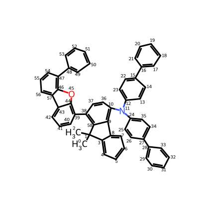 CC1(C)c2ccccc2-c2c(N(c3ccc(-c4ccccc4)cc3)c3ccc(-c4ccccc4)cc3)ccc(-c3cccc4c3oc3c(-c5ccccc5)cccc34)c21